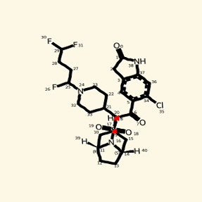 O=C1Cc2cc(C(=O)N[C@@H]3C[C@H]4CC[C@@H](C3)N4S(=O)(=O)CC3CCN(C(F)CCC(F)F)CC3)c(Cl)cc2N1